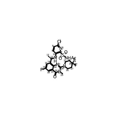 CC(=O)NS(=O)(=O)c1nc(Cl)ccc1N[C@H](C)c1cc(F)cc2c(=O)n(C)c(N3CCC(F)(F)CC3)nc12